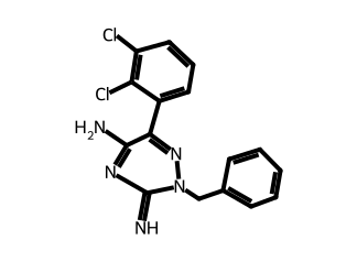 N=c1nc(N)c(-c2cccc(Cl)c2Cl)nn1Cc1ccccc1